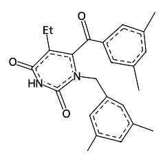 CCc1c(C(=O)c2cc(C)cc(C)c2)n(Cc2cc(C)cc(C)c2)c(=O)[nH]c1=O